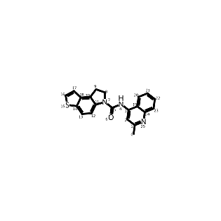 Cc1cc(NC(=O)N2CCc3c2ccc2sccc32)c2ccccc2n1